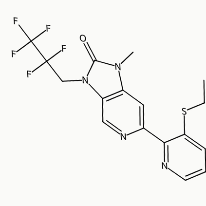 CCSc1cccnc1-c1cc2c(cn1)n(CC(F)(F)C(F)(F)F)c(=O)n2C